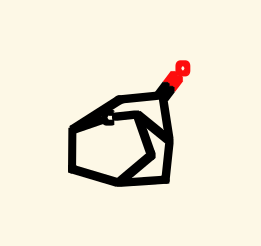 O=C1CC2CC3CC(C2)C1C3